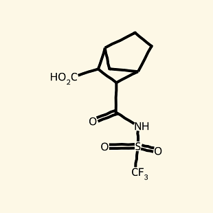 O=C(O)C1C2CCC(C2)C1C(=O)NS(=O)(=O)C(F)(F)F